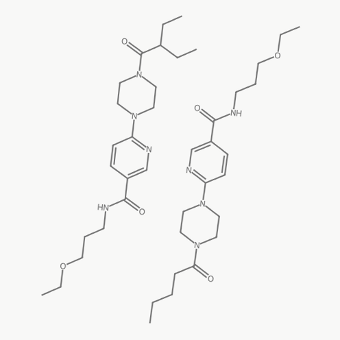 CCCCC(=O)N1CCN(c2ccc(C(=O)NCCCOCC)cn2)CC1.CCOCCCNC(=O)c1ccc(N2CCN(C(=O)C(CC)CC)CC2)nc1